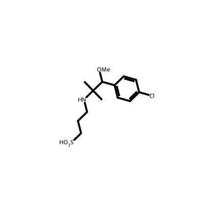 COC(c1ccc(Cl)cc1)C(C)(C)NCCCS(=O)(=O)O